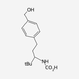 CC(C)(C)C(CCc1ccc(CO)cc1)NC(=O)O